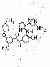 Cc1ccc(NC(=O)c2cc(OC3CCN(C)CC3)cc(C(F)(F)F)c2)cc1Nc1ncccc1-c1cc(N)ncn1